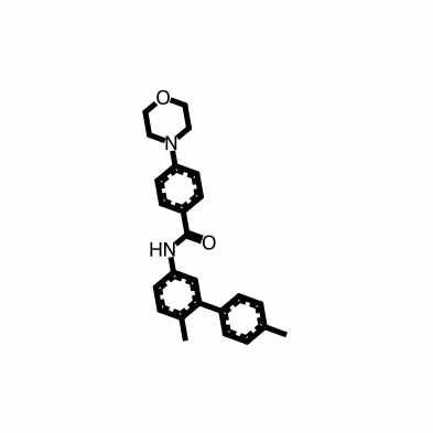 Cc1ccc(-c2cc(NC(=O)c3ccc(N4CCOCC4)cc3)ccc2C)cc1